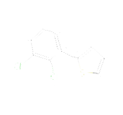 Clc1[c]ccc(-c2cccs2)c1Cl